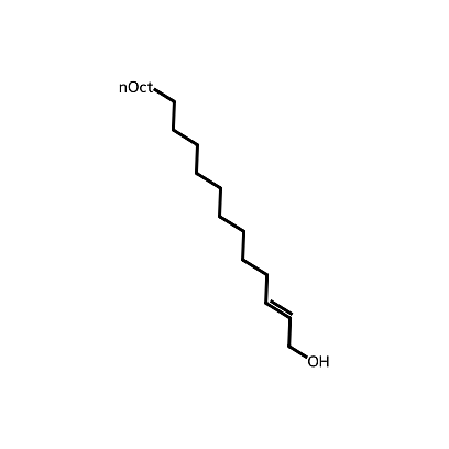 CCCCCCCCCCCCCCCCCC=CCO